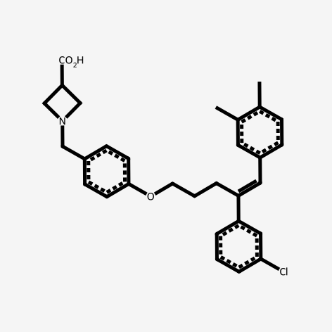 Cc1ccc(/C=C(\CCCOc2ccc(CN3CC(C(=O)O)C3)cc2)c2cccc(Cl)c2)cc1C